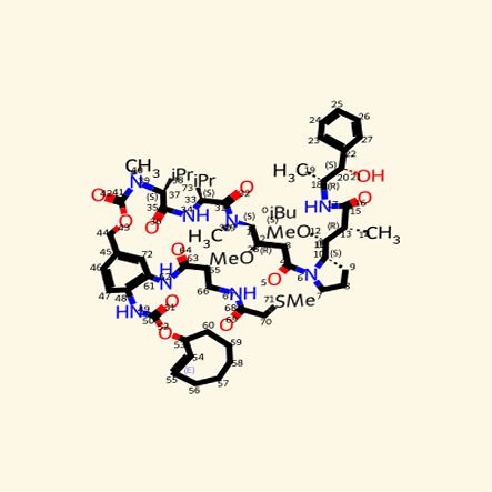 CC[C@H](C)[C@@H]([C@@H](CC(=O)N1CCC[C@H]1[C@H](OC)[C@@H](C)C(=O)N[C@H](C)[C@@H](O)c1ccccc1)OC)N(C)C(=O)[C@@H](NC(=O)[C@H](C(C)C)N(C)C(=O)OCc1ccc(NC(=O)OC2/C=C/CCCCC2)c(NC(=O)CCNC(=O)CSC)c1)C(C)C